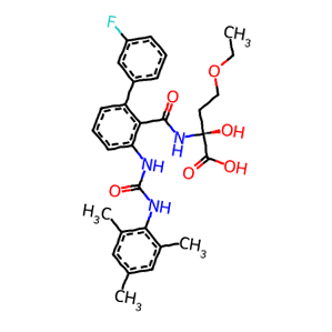 CCOCC[C@@](O)(NC(=O)c1c(NC(=O)Nc2c(C)cc(C)cc2C)cccc1-c1cccc(F)c1)C(=O)O